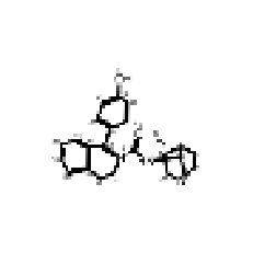 O=C(N[C@@H]1CN2CCC1CC2)[N+]1=C(c2ccc(O)cc2)c2ccccc2CC1